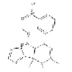 COC(=O)C1C(c2cccc([N+](=O)[O-])c2)C=C(C)NC1(C)c1cccs1